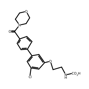 O=C(O)NCCOc1cc(Cl)cc(-c2ccc(C(=O)N3CCOCC3)cc2)c1